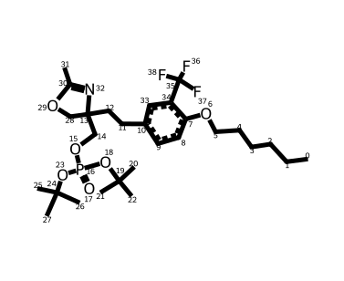 CCCCCCOc1ccc(CCC2(COP(=O)(OC(C)(C)C)OC(C)(C)C)COC(C)=N2)cc1C(F)(F)F